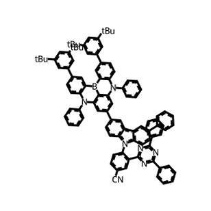 CC(C)(C)c1cc(-c2ccc3c(c2)B2c4cc(-c5cc(C(C)(C)C)cc(C(C)(C)C)c5)ccc4N(c4ccccc4)c4cc(-c5ccc6c(c5)c5cc(-c7ccccc7)ccc5n6-c5ccc(C#N)cc5-c5nc(-c6ccccc6)nc(-c6ccccc6)n5)cc(c42)N3c2ccccc2)cc(C(C)(C)C)c1